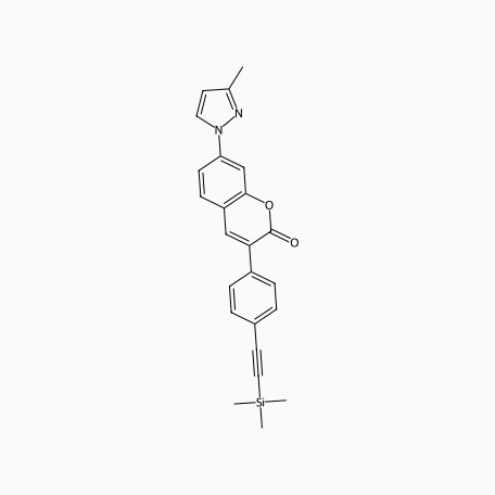 Cc1ccn(-c2ccc3cc(-c4ccc(C#C[Si](C)(C)C)cc4)c(=O)oc3c2)n1